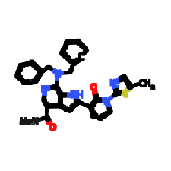 CNC(=O)c1cnc(N(Cc2ccccc2)Cc2ccccc2)c2[nH]c(-c3cccn(-c4ncc(C)s4)c3=O)cc12